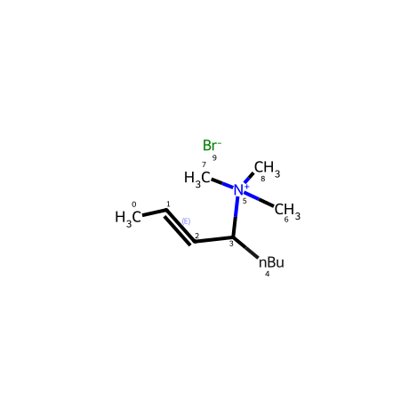 C/C=C/C(CCCC)[N+](C)(C)C.[Br-]